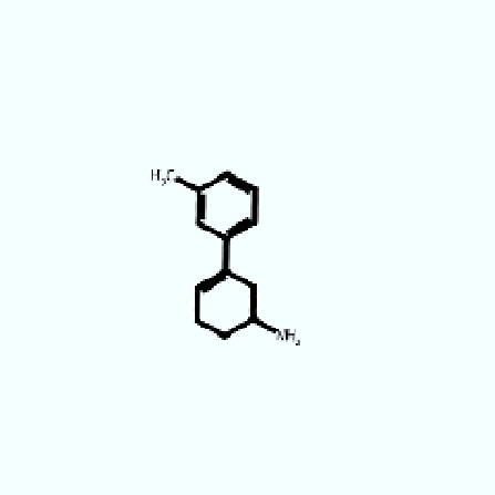 Cc1cccc(C2=CCCC(N)C2)c1